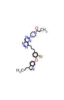 C=CC(=O)N1CCN(c2ncc3ncnc(CCCc4ccc(Oc5ccc6c(c5)N=CC6CCC)c(Br)c4)c3n2)CC1